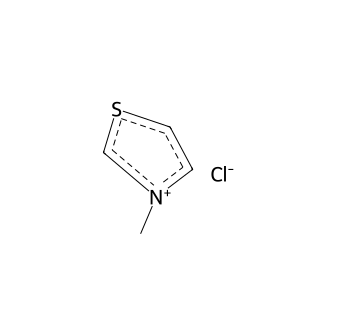 C[n+]1ccsc1.[Cl-]